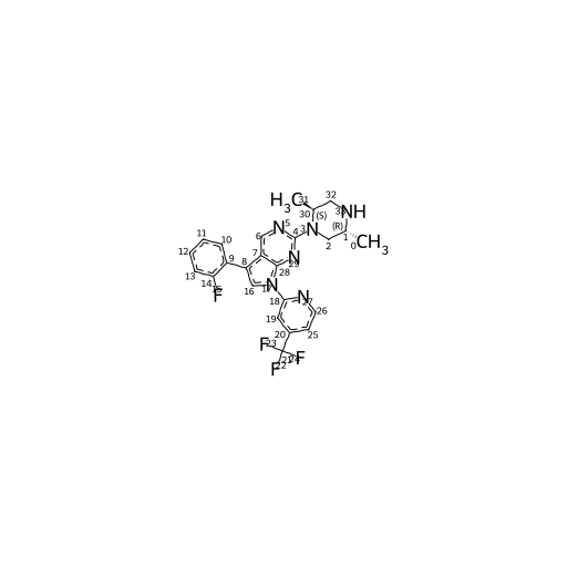 C[C@@H]1CN(c2ncc3c(-c4ccccc4F)cn(-c4cc(C(F)(F)F)ccn4)c3n2)[C@@H](C)CN1